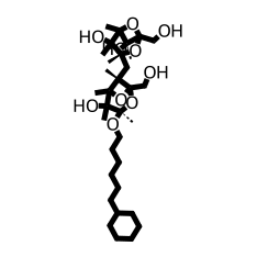 CC1(O)C2(C)OC(CO)(O[C@@]1(C)OCCCCCCC1CCCCC1)[C@@]2(C)C[C@@]1(C)OC2(CO)OC(C)(C1(C)O)[C@]2(C)O